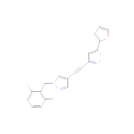 Fc1cccc(Cl)c1Cn1cc(C#Cc2cc(-c3ccco3)on2)cn1